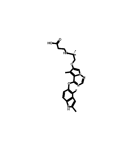 Cc1cc2c(F)c(Oc3ncnn4cc(OC[C@@H](C)NCCC(=O)O)c(C)c34)ccc2[nH]1